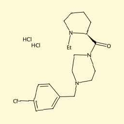 CCN1CCCC[C@H]1C(=O)N1CCN(Cc2ccc(Cl)cc2)CC1.Cl.Cl